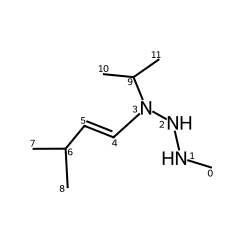 CNNN(C=CC(C)C)C(C)C